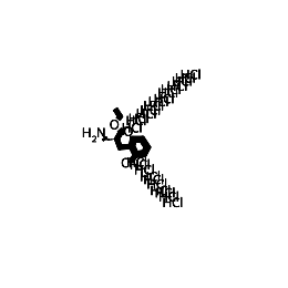 CCOC(=O)[C@@H](CN)Cc1ccccc1Cl.Cl.Cl.Cl.Cl.Cl.Cl.Cl.Cl.Cl.Cl.Cl.Cl.Cl.Cl.Cl.Cl.Cl.Cl.Cl.Cl.Cl.Cl.Cl.Cl